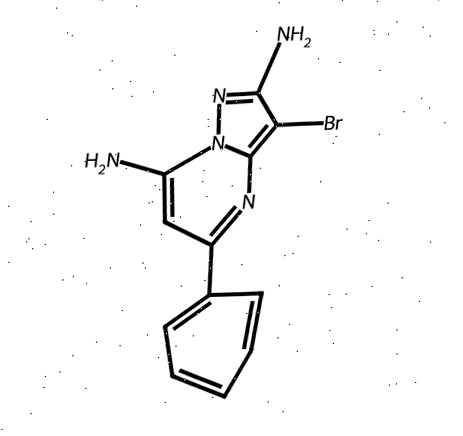 Nc1nn2c(N)cc(-c3ccccc3)nc2c1Br